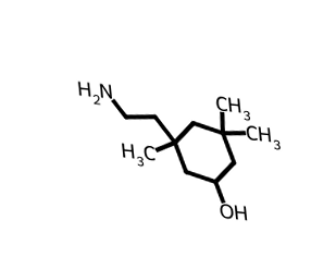 CC1(C)CC(O)CC(C)(CCN)C1